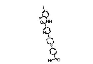 O=C(O)c1ccc(N2CCN(c3ccc(C(=O)Nc4ccc(I)cc4F)cn3)CC2)cc1